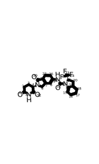 O=C1CC[C@@H](N2Cc3cc(NC(=O)N4c5ccccc5C[C@H]4C(F)(F)F)ccc3C2=O)C(=O)N1